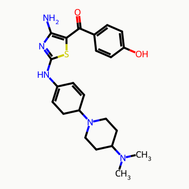 CN(C)C1CCN(C2C=CC(Nc3nc(N)c(C(=O)c4ccc(O)cc4)s3)=CC2)CC1